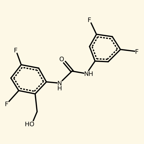 O=C(Nc1cc(F)cc(F)c1)Nc1cc(F)cc(F)c1CO